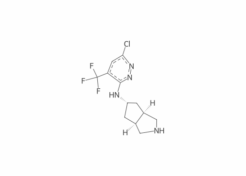 FC(F)(F)c1cc(Cl)nnc1N[C@@H]1C[C@H]2CNC[C@H]2C1